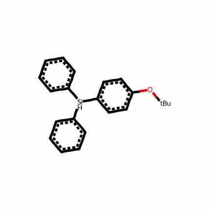 CC(C)(C)Oc1ccc([SiH](c2ccccc2)c2ccccc2)cc1